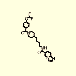 O=C(NCCCCC1CCN(C(=O)c2ccc(OC(F)F)cc2)CC1)c1ccc2nccn2c1